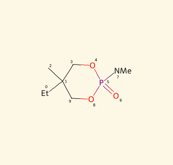 CCC1(C)COP(=O)(NC)OC1